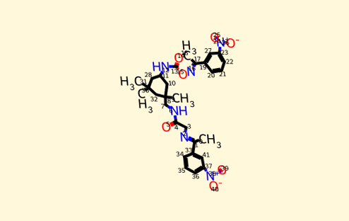 C/C(=N\CC(=O)NCC1(C)CC(NC(=O)O/N=C(\C)c2cccc([N+](=O)[O-])c2)CC(C)(C)C1)c1cccc([N+](=O)[O-])c1